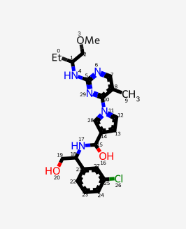 CCC(COC)Nc1ncc(C)c(-n2ccc(C(O)NC(CO)c3cccc(Cl)c3)c2)n1